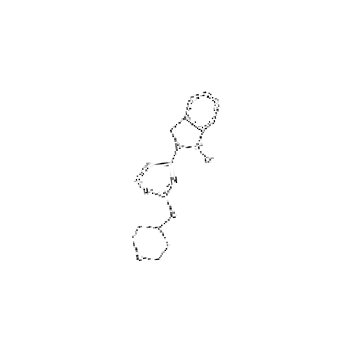 [O-][S+]1c2ccccc2CN1c1ccnc(OC2CCOCC2)n1